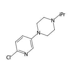 CC(C)N1CCN(c2ccc(Cl)nc2)CC1